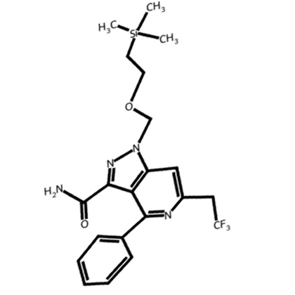 C[Si](C)(C)CCOCn1nc(C(N)=O)c2c(-c3ccccc3)nc(CC(F)(F)F)cc21